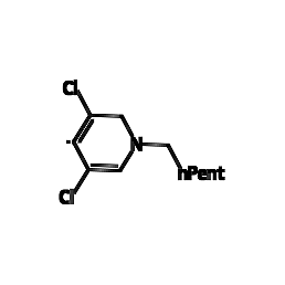 CCCCCCN1C=C(Cl)[C]=C(Cl)C1